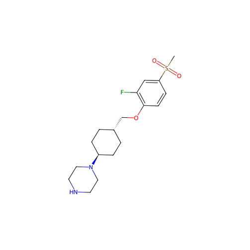 CS(=O)(=O)c1ccc(OC[C@H]2CC[C@H](N3CCNCC3)CC2)c(F)c1